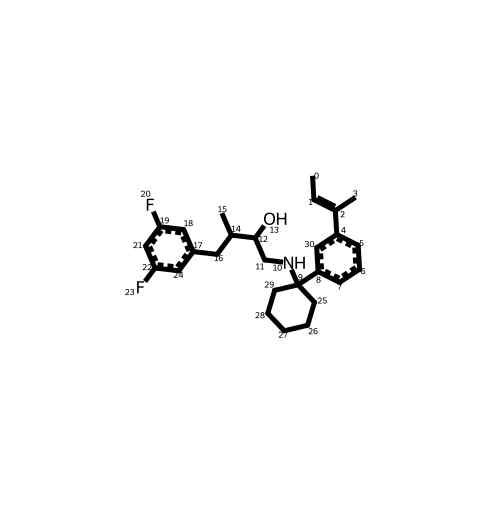 CC=C(C)c1cccc(C2(NCC(O)C(C)Cc3cc(F)cc(F)c3)CCCCC2)c1